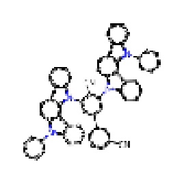 N#Cc1cccc(-c2cc(-n3c4ccccc4c4c3ccc3c5ccccc5n(-c5ccccc5)c34)c(C#N)c(-n3c4ccccc4c4ccc5c(c6ccccc6n5-c5ccccc5)c43)c2)c1